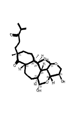 CC(C)C(=O)CC[C@]1(C)CC[C@]2(C)[C@H](CC[C@H]3[C@H]4C5[C@@H](OC[C@@H](O)[C@@H]5O[C@@H]3O)O[C@@H]42)C1=O